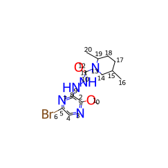 COc1ncc(Br)nc1NNC(=O)N1CC(C)CCC1C